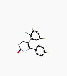 O=C1CCC(c2cc(F)cc(F)c2Cl)=C(c2ccc(F)cc2)N1